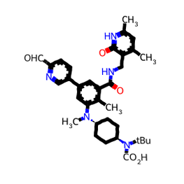 Cc1cc(C)c(CNC(=O)c2cc(-c3ccc(C=O)nc3)cc(N(C)[C@H]3CC[C@H](N(C(=O)O)C(C)(C)C)CC3)c2C)c(=O)[nH]1